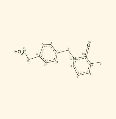 Cc1cccn(Cc2ccc(CC(=O)O)cc2)c1=O